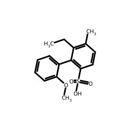 CCc1c(C)ccc(S(=O)(=O)O)c1-c1ccccc1OC